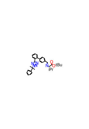 CC(C)[C@H](/N=C/c1ccc(-c2ccccc2-c2nnn(C(C)(C)c3ccccc3)n2)cc1)C(=O)OC(C)(C)C